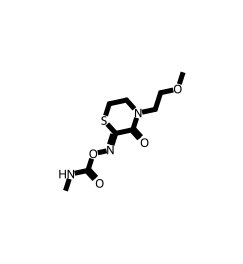 CNC(=O)ON=C1SCCN(CCOC)C1=O